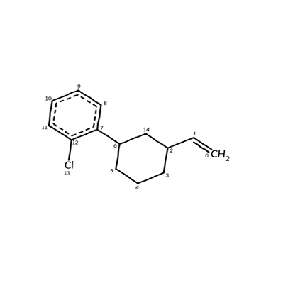 C=CC1CCCC(c2ccccc2Cl)C1